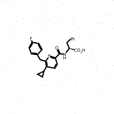 CC(C)C[C@H](NC(=O)c1ccc(C2CC2)c(Cc2ccc(F)cc2)n1)C(=O)O